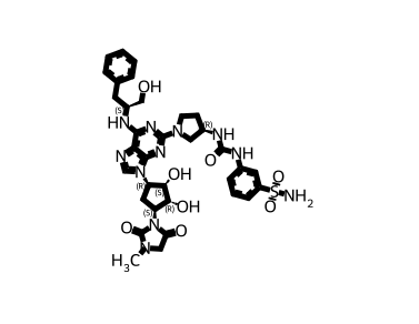 CN1CC(=O)N([C@H]2C[C@@H](n3cnc4c(N[C@H](CO)Cc5ccccc5)nc(N5CC[C@@H](NC(=O)Nc6cccc(S(N)(=O)=O)c6)C5)nc43)[C@H](O)[C@@H]2O)C1=O